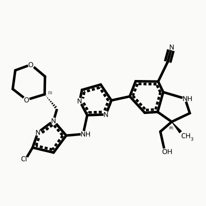 C[C@]1(CO)CNc2c(C#N)cc(-c3ccnc(Nc4cc(Cl)nn4C[C@H]4COCCO4)n3)cc21